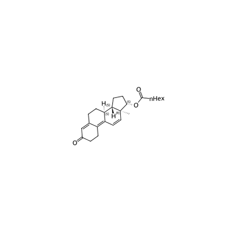 CCCCCCC(=O)O[C@H]1CC[C@H]2[C@@H]3CCC4=CC(=O)CCC4=C3C=C[C@]12C